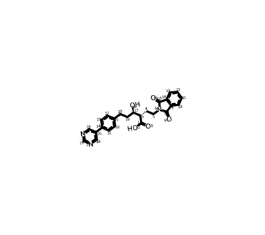 O=C(O)[C@@H](CCN1C(=O)c2ccccc2C1=O)[C@H](O)CCc1ccc(-c2cncnc2)cc1